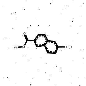 CC(C)OC(=O)c1ccc2cc(C(=O)O)ccc2c1